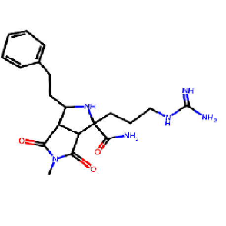 CN1C(=O)C2C(CCc3ccccc3)NC(CCCNC(=N)N)(C(N)=O)C2C1=O